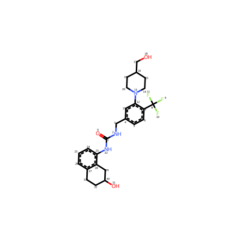 O=C(NCc1ccc(C(F)(F)F)c(N2CCC(CO)CC2)c1)Nc1cccc2c1CC(O)CC2